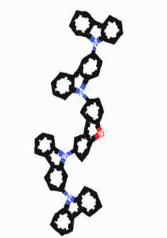 c1ccc2c(c1)c1ccccc1n2-c1ccc2c(c1)c1ccccc1n2-c1ccc2oc3ccc(-n4c5ccccc5c5ccc(-n6c7ccccc7c7ccccc76)cc54)cc3c2c1